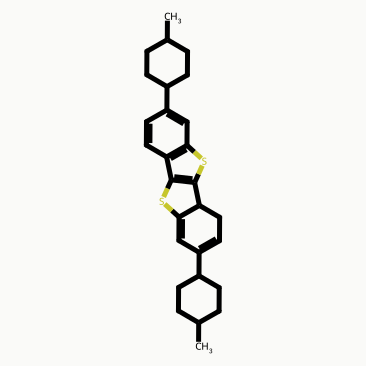 CC1CCC(C2=CCC3C(=C2)Sc2c3sc3cc(C4CCC(C)CC4)ccc23)CC1